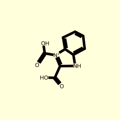 O=C(O)c1[nH]c2ccccc2[n+]1C(=O)O